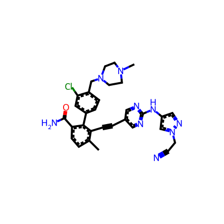 Cc1ccc(C(N)=O)c(-c2ccc(CN3CCN(C)CC3)c(Cl)c2)c1C#Cc1cnc(Nc2cnn(CC#N)c2)nc1